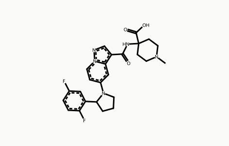 CN1CCC(NC(=O)c2cnn3ccc(N4CCCC4c4cc(F)ccc4F)cc23)(C(=O)O)CC1